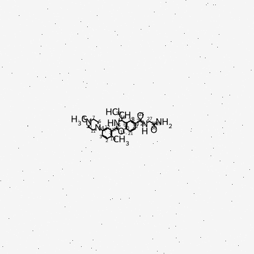 Cc1ccc(N2CCN(C)CC2)cc1C(=O)N[C@H](C)c1cccc(C(=O)NCC(N)=O)c1.Cl